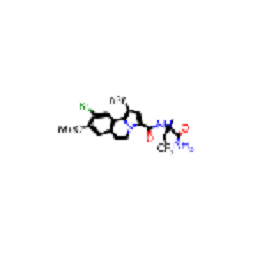 CCCc1cc(C(=O)N[C@@](C)(CC(F)(F)F)C(N)=O)n2c1-c1cc(Br)c(OC)cc1CC2